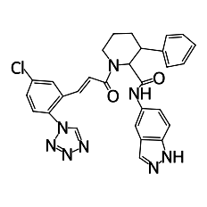 O=C(Nc1ccc2[nH]ncc2c1)C1C(c2ccccc2)CCCN1C(=O)C=Cc1cc(Cl)ccc1-n1cnnn1